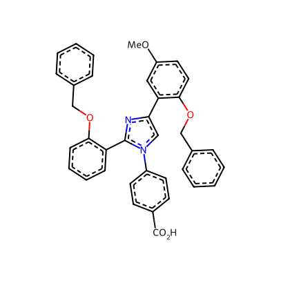 COc1ccc(OCc2ccccc2)c(-c2cn(-c3ccc(C(=O)O)cc3)c(-c3ccccc3OCc3ccccc3)n2)c1